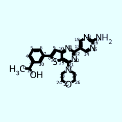 CC(O)c1cccc(-c2cc3nc(-c4cnc(N)nc4)nc(N4CCOCC4)c3s2)c1